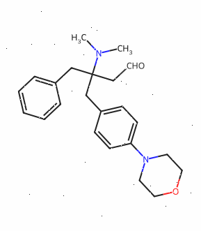 CN(C)C(CC=O)(Cc1ccccc1)Cc1ccc(N2CCOCC2)cc1